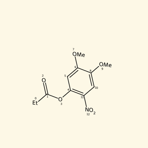 CCC(=O)Oc1cc(OC)c(OC)cc1[N+](=O)[O-]